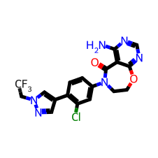 Nc1ncnc2c1C(=O)N(c1ccc(-c3cnn(CC(F)(F)F)c3)c(Cl)c1)CCO2